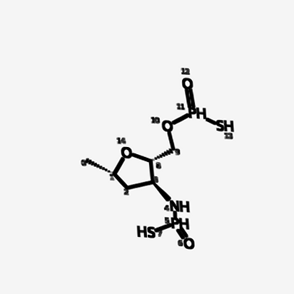 C[C@H]1C[C@H](N[PH](=O)S)[C@@H](CO[PH](=O)S)O1